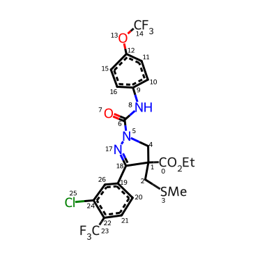 CCOC(=O)C1(CSC)CN(C(=O)Nc2ccc(OC(F)(F)F)cc2)N=C1c1ccc(C(F)(F)F)c(Cl)c1